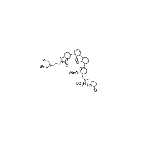 COc1nc(-c2cccc(-c3cccc(-c4ccc5nn(CCCN(CC(C)C)CC(C)C)c(=O)n5c4)c3Cl)c2Cl)ccc1CN(C[C@@H]1CCC(=O)N1)C(=O)O